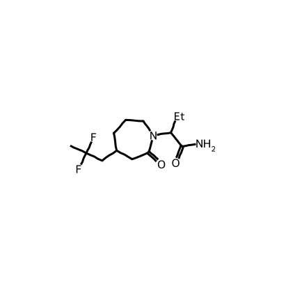 CCC(C(N)=O)N1CCCC(CC(C)(F)F)CC1=O